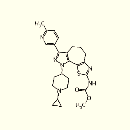 COC(=O)Nc1nc2c(s1)-c1c(c(-c3ccc(C)nc3)nn1C1CCN(C3CC3)CC1)CCC2